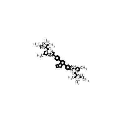 COC(=O)NC(C(=O)N1C[C@@H](C)C[C@H]1c1ncc(-c2ccc(-c3ccc(-c4ccc5nc([C@@H]6C[C@H](C)CN6C(=O)[C@@H](NC(=O)OC)C(C)C)[nH]c5c4)c4c3C3CCC3C4)cc2)[nH]1)C(C)C